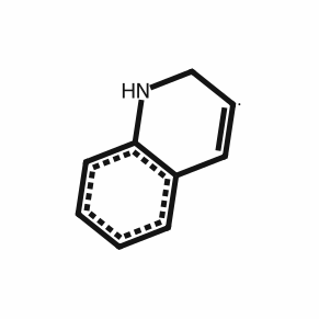 [C]1=Cc2ccccc2NC1